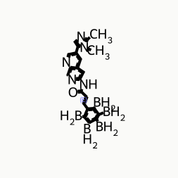 Bc1c(B)c(B)c(/C=C/C(=O)Nc2cc3cc(-c4cnc(C)n4C)cnc3cn2)c(B)c1B